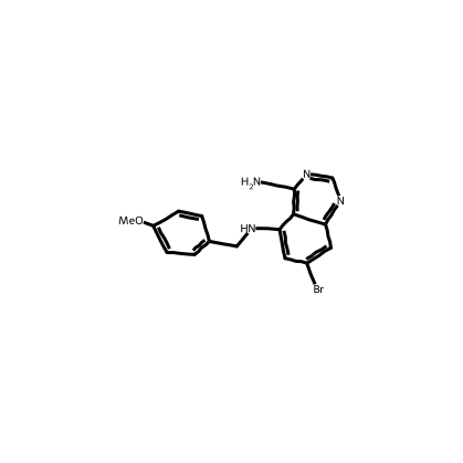 COc1ccc(CNc2cc(Br)cc3ncnc(N)c23)cc1